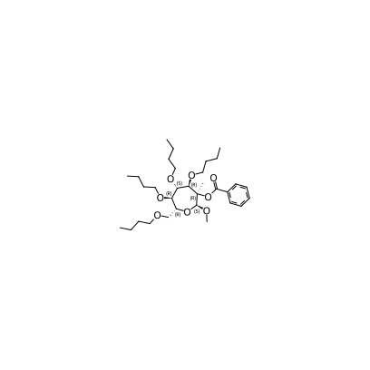 CCCCOC[C@H]1O[C@H](OC)[C@](C)(OC(=O)c2ccccc2)[C@H](OCCCC)[C@@H](OCCCC)[C@@H]1OCCCC